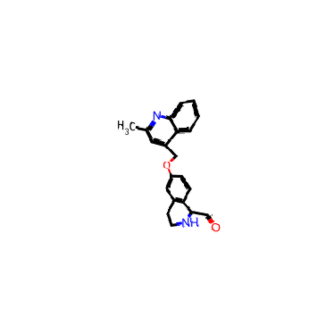 Cc1cc(COc2ccc3c(c2)CCNC3[C]=O)c2ccccc2n1